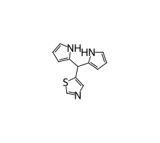 c1c[nH]c(C(c2ccc[nH]2)c2cncs2)c1